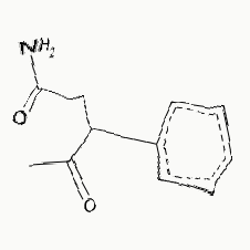 CC(=O)C(CC(N)=O)c1ccccc1